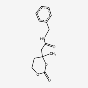 CC1(CC(=O)NCc2ccccc2)CCOC(=O)O1